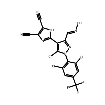 N#Cc1nc(-c2c(C=NO)nn(-c3c(Cl)cc(C(F)(F)F)cc3Cl)c2Cl)[nH]c1C#N